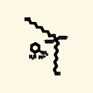 N[C@@H]1CCCC[C@H]1N.O=C([O-])C(OOCCCCCCO)(OOCCCCCCO)C(=O)[O-].[Pt+2]